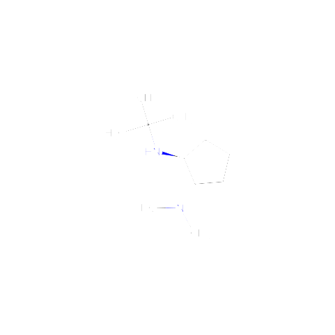 CN(C)[C@H]1CCC[C@@H]1NC(C)(C)C